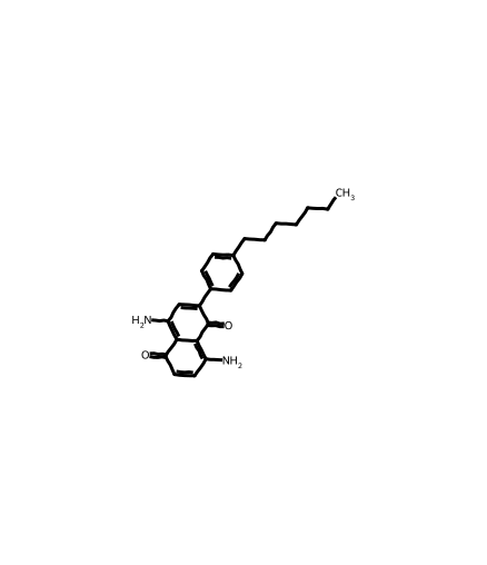 CCCCCCCc1ccc(C2=CC(N)=C3C(=O)C=CC(N)=C3C2=O)cc1